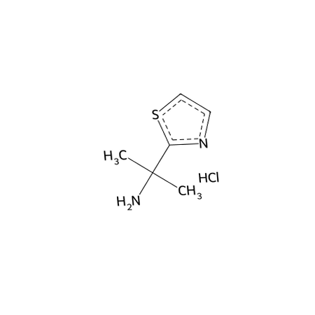 CC(C)(N)c1nccs1.Cl